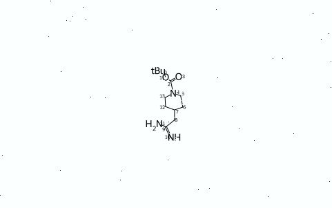 CC(C)(C)OC(=O)N1CCC(CC(=N)N)CC1